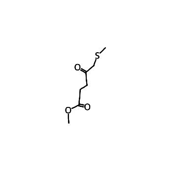 COC(=O)CCC(=O)CSC